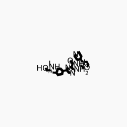 Nc1ncc(-c2ccc(C[C@H](CO)NI)cc2)nc1C(=O)Nc1cnccc1N1CCOCC1